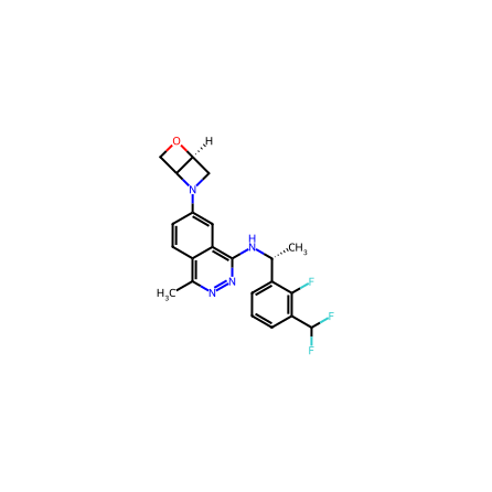 Cc1nnc(N[C@H](C)c2cccc(C(F)F)c2F)c2cc(N3C[C@@H]4OCC43)ccc12